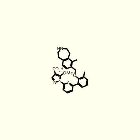 COc1c(C(=O)O)cnn1-c1cccc(-c2cccc(C)c2OCc2ccc3c(c2C)CCNCC3)n1